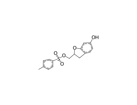 Cc1ccc(S(=O)(=O)OCC2Cc3ccc(O)cc3O2)cc1